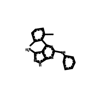 Cc1cccc(C)c1-c1nc(Nc2ccccc2)nc2[nH]nc(N)c12